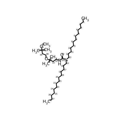 CCCCCCCCCCCCCCN(CCCCCCCCCCCCCC)C(=O)NCCC(C)(C)OCCC(C)(C)OC